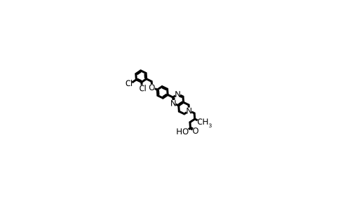 CC(CC(=O)O)CN1CCc2nc(-c3ccc(OCc4cccc(Cl)c4Cl)cc3)ncc2C1